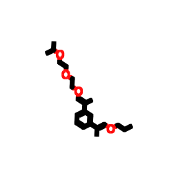 CCCOC=C(C)c1cccc(C(C)=COCCOCCOC(C)C)c1